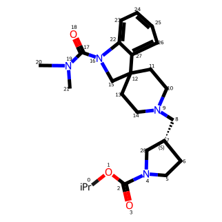 CC(C)OC(=O)N1CC[C@@H](CN2CCC3(CC2)CN(C(=O)N(C)C)c2ccccc23)C1